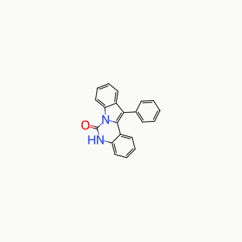 O=c1[nH]c2ccccc2c2c(-c3ccccc3)c3ccccc3n12